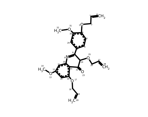 C=CCOc1ccc(C2=Nc3cc(OC)cc(OCC=C)c3C(=O)C2OCC=C)cc1OC